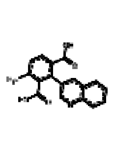 Cc1ccc(C(=O)O)c(-c2cnc3ccccc3c2)c1C(=O)O